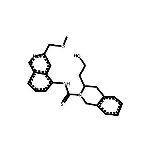 COCc1cc2c(NC(=S)N3Cc4ccccc4CC3CCO)cccc2cn1